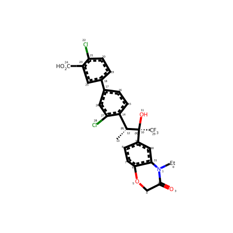 CCN1C(=O)COc2ccc([C@](O)([C@H](C)c3ccc(-c4ccc(Cl)c(C(=O)O)c4)cc3Cl)C(F)(F)F)cc21